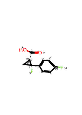 O=C(O)[C@H]1C[C@]1(F)c1ccc(F)cc1